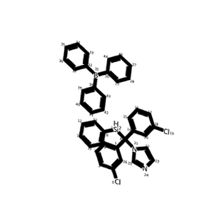 Clc1cccc(C([SiH2]c2ccccc2)(c2cccc(Cl)c2)n2ccnc2)c1.c1ccc(B(c2ccccc2)c2ccccc2)cc1